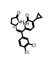 CCc1ccc(/C(=C/[C@H]2CCC(=O)N2)c2ccc(C3CC3)c(=O)[nH]2)cc1Cl